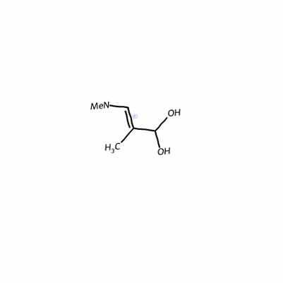 CN/C=C(\C)C(O)O